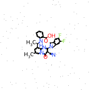 Cc1cc([C@@H](C)Nc2ccccc2C(=O)O)c2nc(N3Cc4cc(F)c(F)cc4C3)c(C#N)c(=O)n2c1